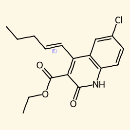 CCC/C=C/c1c(C(=O)OCC)c(=O)[nH]c2ccc(Cl)cc12